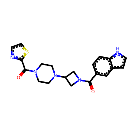 O=C(c1ccc2[nH]ccc2c1)N1CC(N2CCN(C(=O)c3nccs3)CC2)C1